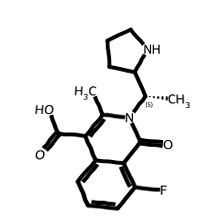 Cc1c(C(=O)O)c2cccc(F)c2c(=O)n1[C@@H](C)C1CCCN1